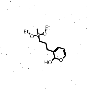 CCO[Si](C)(CCCC1=CC=COC1O)OCC